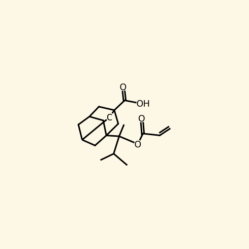 C=CC(=O)OC(C)(C(C)C)C12CC3CC(CC(C(=O)O)(C3)C1)C2